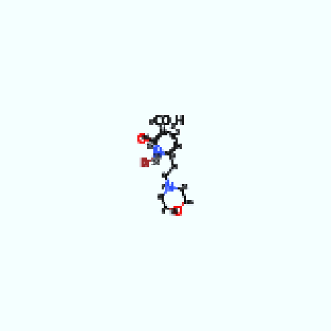 O=C(O)c1ccc(CCN2CCOCC2)n(Br)c1=O